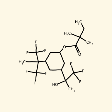 CCC(C)(C)C(=O)OC1CC(C(C)(O)C(F)(F)F)CC(C(C)(C(F)(F)F)C(F)(F)F)C1